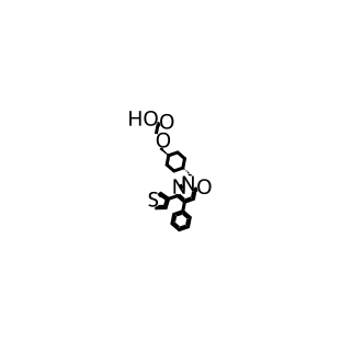 O=C(O)COC[C@H]1CC[C@H](Cn2nc(-c3ccsc3)c(-c3ccccc3)cc2=O)CC1